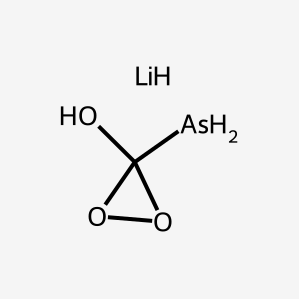 OC1([AsH2])OO1.[LiH]